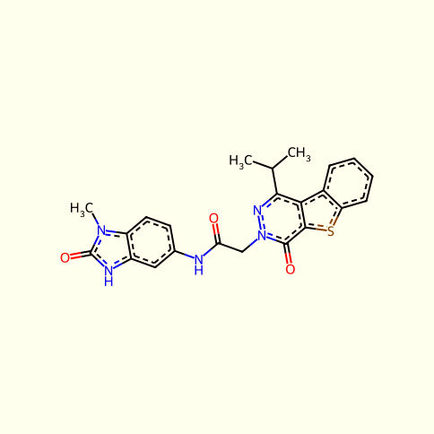 CC(C)c1nn(CC(=O)Nc2ccc3c(c2)[nH]c(=O)n3C)c(=O)c2sc3ccccc3c12